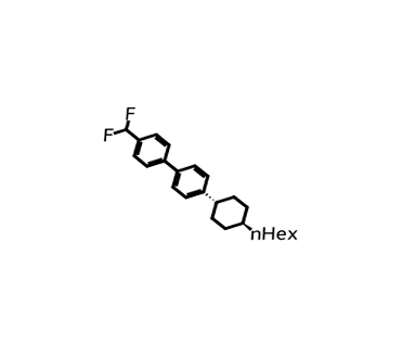 CCCCCC[C@H]1CC[C@H](c2ccc(-c3ccc(C(F)F)cc3)cc2)CC1